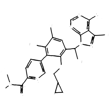 Cc1c(Cl)cc(C(C)n2nc(C)c3c(N)ncnc32)c(OCC2CC2)c1-c1ccc(C(=O)N(C)C)nc1